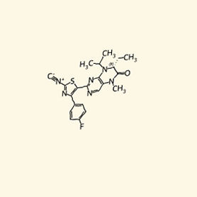 [C-]#[N+]c1nc(-c2ccc(F)cc2)c(-c2ncc3c(n2)N(C(C)C)[C@H](CC)C(=O)N3C)s1